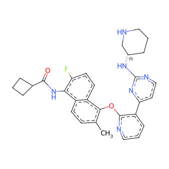 Cc1ccc2c(NC(=O)C3CCC3)c(F)ccc2c1Oc1ncccc1-c1ccnc(N[C@H]2CCCNC2)n1